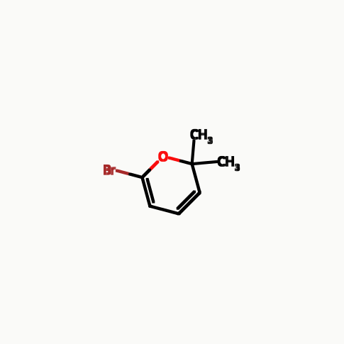 CC1(C)C=CC=C(Br)O1